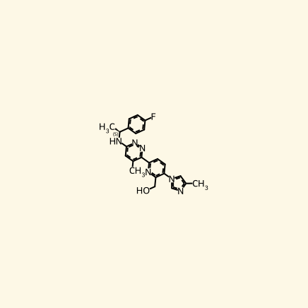 Cc1cn(-c2ccc(-c3nnc(N[C@@H](C)c4ccc(F)cc4)cc3C)nc2CO)cn1